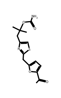 CC(=O)c1ccc(Cc2nc(CC(C)(C)OC(N)=O)cs2)o1